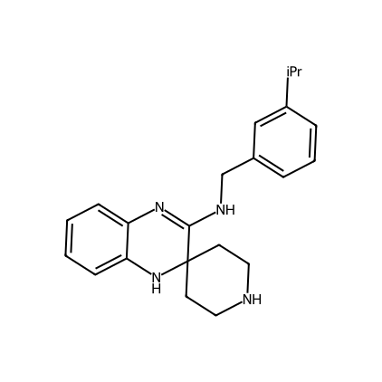 CC(C)c1cccc(CNC2=Nc3ccccc3NC23CCNCC3)c1